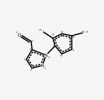 O=Cc1ccnn1-c1ccc(F)cc1I